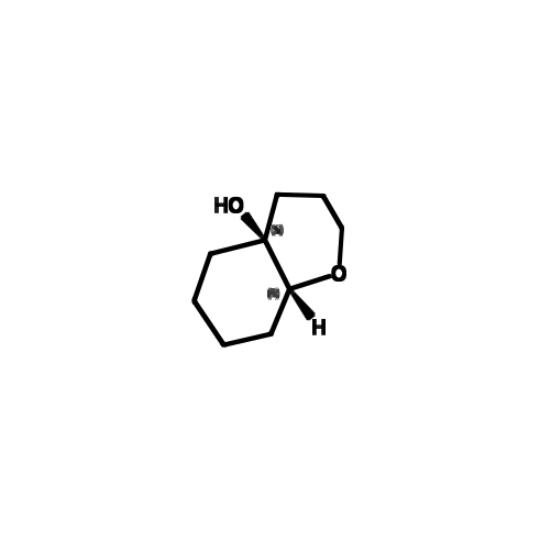 O[C@]12CCCC[C@H]1OCCC2